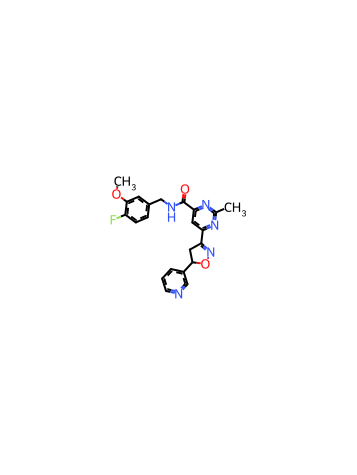 COc1cc(CNC(=O)c2cc(C3=NOC(c4cccnc4)C3)nc(C)n2)ccc1F